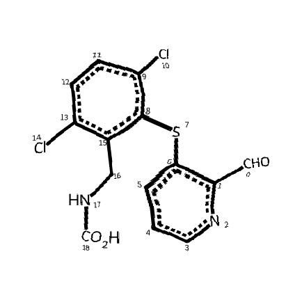 O=Cc1ncccc1Sc1c(Cl)ccc(Cl)c1CNC(=O)O